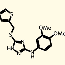 COc1ccc(Nc2n[nH]c(SCc3cccs3)n2)cc1OC